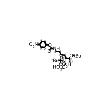 CC(C)(C)OC(=O)C(CCCCNC(=O)Oc1ccc([N+](=O)[O-])cc1)N(CC(=O)O)C(C(=O)O)(C(C)(C)C)C(C)(C)C